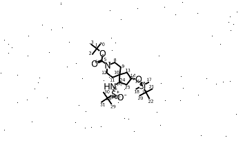 CC(C)(C)OC(=O)N1CCC2(CC1)C[C@@H](O[Si](C)(C)C(C)(C)C)C[C@H]2N[S@+]([O-])C(C)(C)C